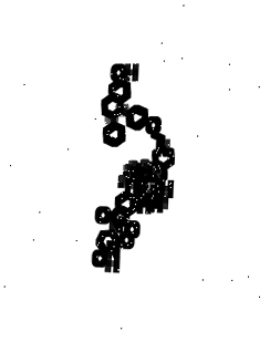 [2H]C1([2H])N(CC2CCN(CCOc3ccc([C@@H]4c5ccc(O)cc5CC[C@@H]4c4ccccc4)cc3)CC2)C([2H])([2H])C([2H])([2H])N(c2ccc3c(c2)C(=O)N(C2CCC(=O)NC2=O)C3=O)C1([2H])[2H]